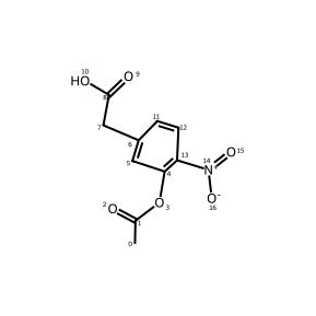 CC(=O)Oc1cc(CC(=O)O)ccc1[N+](=O)[O-]